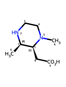 C[C@H]1NCCN(C)[C@H]1CC(=O)O